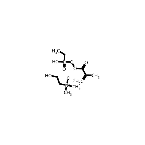 C=C(C)C(=O)OOP(=O)(O)CC.C[N+](C)(C)CCO